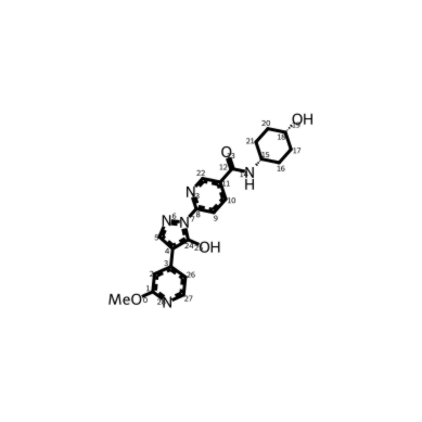 COc1cc(-c2cnn(-c3ccc(C(=O)N[C@H]4CC[C@@H](O)CC4)cn3)c2O)ccn1